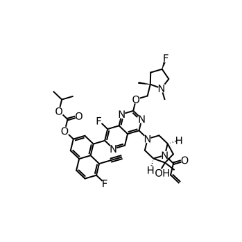 C#Cc1c(F)ccc2cc(OC(=O)OC(C)C)cc(-c3ncc4c(N5C[C@H]6CC(C)(O)[C@@H](C5)N6C(=O)C=C)nc(OC[C@]5(C)C[C@@H](F)CN5C)nc4c3F)c12